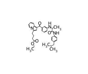 CCOC(=O)CCCc1cc(C(=O)c2cccc(NC(C)C(=O)Nc3ccc(CC(C)C)cc3)c2)c2ccccn12